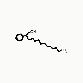 CCCCCCCCCCCCC(CO)c1ccccc1